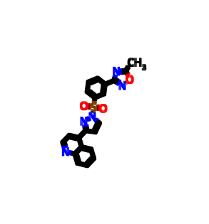 Cc1nc(-c2cccc(S(=O)(=O)n3ccc(-c4ccnc5ccccc45)n3)c2)no1